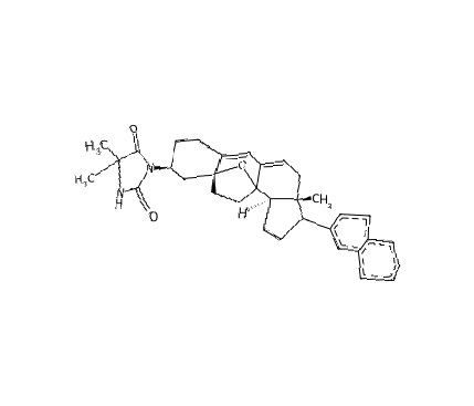 CC1(C)NC(=O)N([C@H]2CCC3=CC4=CC[C@]5(C)C(c6ccc7ccccc7c6)CC[C@H]5C45CC[C@]3(C2)O5)C1=O